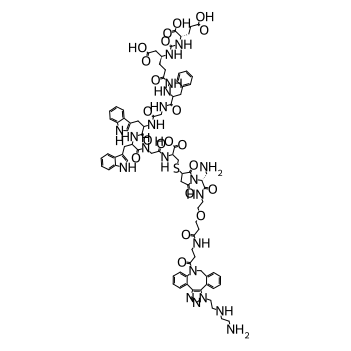 NCCNCCn1nnc2c1-c1ccccc1CN(C(=O)CCNC(=O)CCOCCNC(=O)[C@@H](CN)N1C(=O)CC(SCC(NC(=O)CNC(=O)C(Cc3c[nH]c4ccccc34)NC(=O)C(Cc3c[nH]c4ccccc34)NC(=O)CNC(=O)C(Cc3ccccc3)NNC(=O)CC[C@@H](CC(=O)O)NC(=O)N[C@@H](CCC(=O)O)C(=O)O)C(=O)O)C1=O)c1ccccc1-2